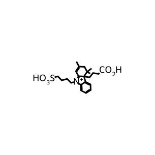 CC1=CC2=[N+](CCCCS(=O)(=O)O)c3ccccc3C2(CCCC(=O)O)C(C)(C)C1